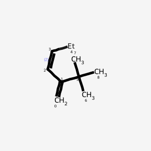 C=C(/C=C\CC)C(C)(C)C